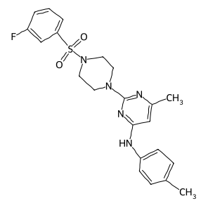 Cc1ccc(Nc2cc(C)nc(N3CCN(S(=O)(=O)c4cccc(F)c4)CC3)n2)cc1